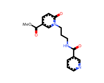 COC(=O)c1ccc(=O)n(CCCNC(=O)c2cccnc2)c1